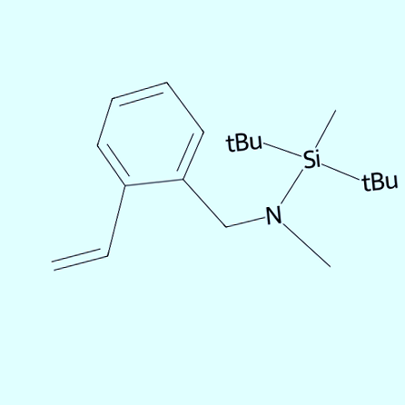 C=Cc1ccccc1CN(C)[Si](C)(C(C)(C)C)C(C)(C)C